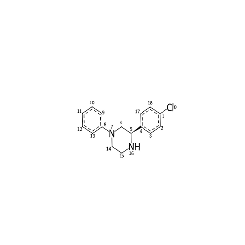 Clc1ccc([C@@H]2CN(c3ccccc3)CCN2)cc1